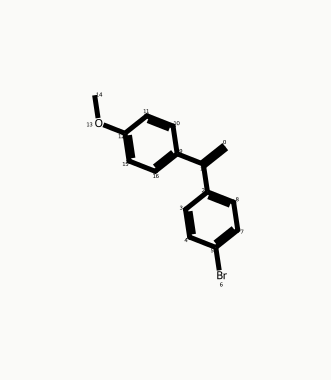 C=C(c1ccc(Br)cc1)c1ccc(OC)cc1